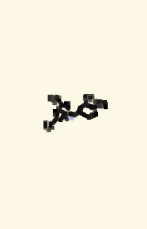 CC12CC(C(F)(F)F)=NN1C(N)=N/C2=C\c1ccc(C#N)c(C(F)(F)F)c1